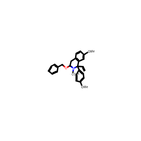 C=CC1(c2ccc(OC)cc2)c2cc(OC)ccc2CC(OCc2ccccc2)N1C(=O)O